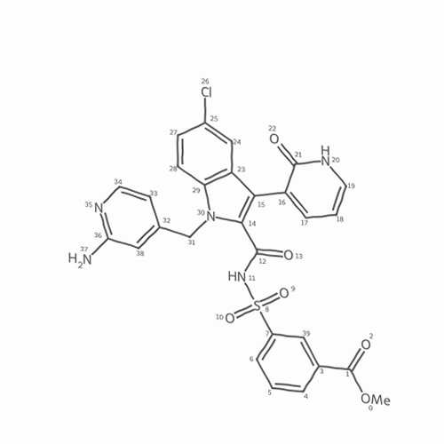 COC(=O)c1cccc(S(=O)(=O)NC(=O)c2c(-c3ccc[nH]c3=O)c3cc(Cl)ccc3n2Cc2ccnc(N)c2)c1